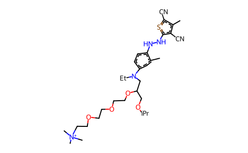 CCN(CC(COC(C)C)OCCOCCOCC[N+](C)(C)C)c1ccc(NNc2sc(C#N)c(C)c2C#N)c(C)c1